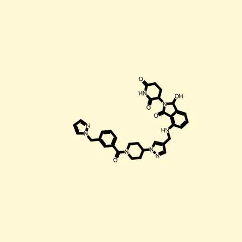 O=C1CCC(N2C(=O)c3c(NCc4cnn(C5CCN(C(=O)c6cccc(Cn7cccn7)c6)CC5)c4)cccc3C2O)C(=O)N1